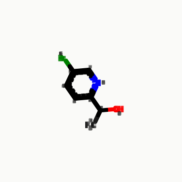 OC(c1ccc(Br)cn1)C(F)(F)F